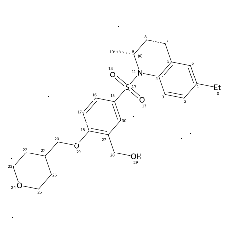 CCc1ccc2c(c1)CC[C@@H](C)N2S(=O)(=O)c1ccc(OCC2CCOCC2)c(CO)c1